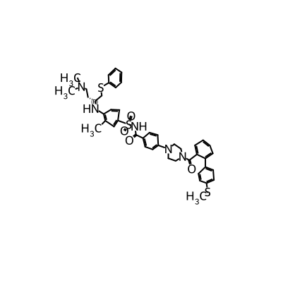 CSc1ccc(-c2ccccc2C(=O)N2CCN(c3ccc(C(=O)NS(=O)(=O)c4ccc(N[C@H](CCN(C)C)CSc5ccccc5)c(C)c4)cc3)CC2)cc1